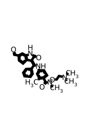 Cc1cc(N/C(=C2\C(=O)Nc3cc(C=O)ccc32)c2ccccc2)ccc1C(=O)N(C)OCCN(C)C